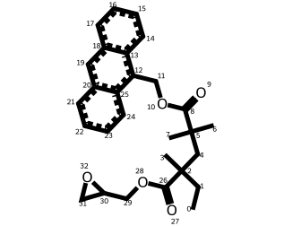 CCC(C)(CC(C)(C)C(=O)OCc1c2ccccc2cc2ccccc12)C(=O)OCC1CO1